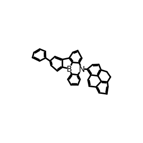 c1ccc(-c2ccc3c(c2)-c2cccc4c2B3c2ccccc2N4c2ccc3c4c2ccc2cccc(c24)CC3)cc1